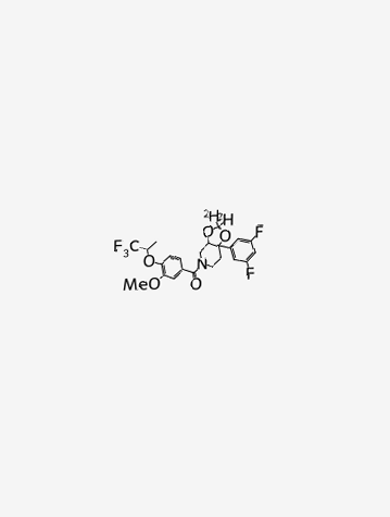 [2H]C1([2H])OC2CN(C(=O)c3ccc(OC(C)C(F)(F)F)c(OC)c3)CCC2(c2cc(F)cc(F)c2)O1